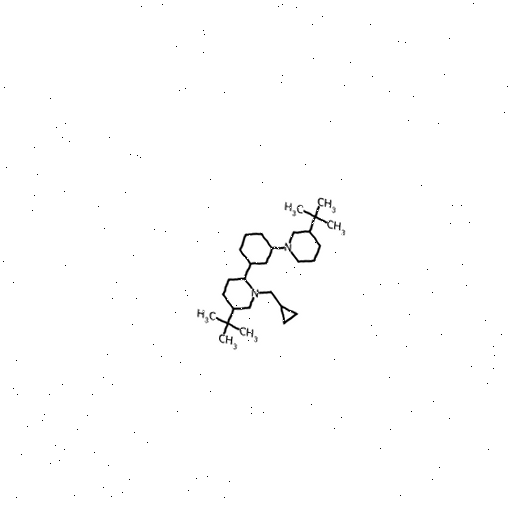 CC(C)(C)C1CCCN(C2CCCC(C3CCC(C(C)(C)C)CN3CC3CC3)C2)C1